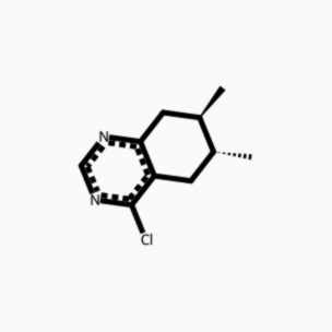 C[C@@H]1Cc2ncnc(Cl)c2C[C@H]1C